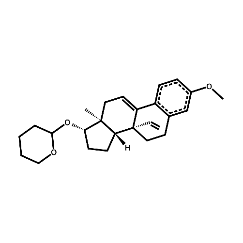 C=C[C@@]12CCc3cc(OC)ccc3C1=CC[C@]1(C)[C@@H](OC3CCCCO3)CC[C@H]12